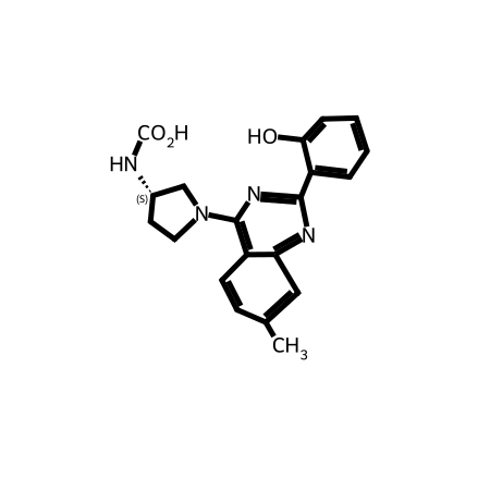 Cc1ccc2c(N3CC[C@H](NC(=O)O)C3)nc(-c3ccccc3O)nc2c1